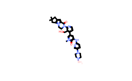 BN1CCN(c2ccc(Nc3cc(-c4ccnc(N5CCn6c(cc7c6CC(C)(C)C7)C5=O)c4CO)cn(C)c3=O)nc2)CC1